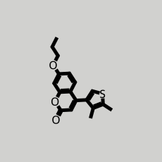 CCCOc1ccc2c(-c3csc(C)c3C)cc(=O)oc2c1